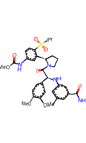 COC(=O)Nc1ccc(S(=O)(=O)C(C)C)c([C@H]2CCCN2C(=O)[C@@H](Nc2cc(C)cc(C(N)=O)c2)c2ccc(OC)c(OC)c2)c1